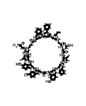 CCCC[C@H]1C(=O)N(C)CC(=O)N[C@@H](CC(=O)O)C(=O)N[C@@H](C(C)C)C(=O)N(C)[C@@H](Cc2ccccc2)C(=O)N[C@@H](Cc2ccc(O)cc2)C(=O)N(C)CC(=O)N[C@@H](Cc2ccc(Cl)cc2)C(=O)N[C@@H](Cc2ccc(O)cc2)C(=O)N[C@@H](CC(C)C)C(=O)N[C@H](C(=O)NCC(N)=O)CSCC(=O)N[C@@H](Cc2ccccc2)C(=O)N(C)[C@@H](CCc2ccccc2)C(=O)N1C